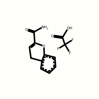 NC(=O)C1=CCc2ccccc2O1.O=C(O)C(F)(F)F